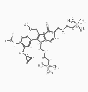 CC(C)(C)OCc1c(-c2ccc(OC(F)F)c(OC3CC3)c2)n(COCC[Si](C)(C)C)c2cnn(COCC[Si](C)(C)C)c(=O)c12